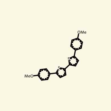 COc1ccc(-c2ccc(-c3ccc(-c4ccc(OC)cc4)s3)s2)cc1